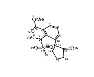 CCCN(c1c(C(=O)OC)cccc1N1CCCC1=O)S(C)(=O)=O